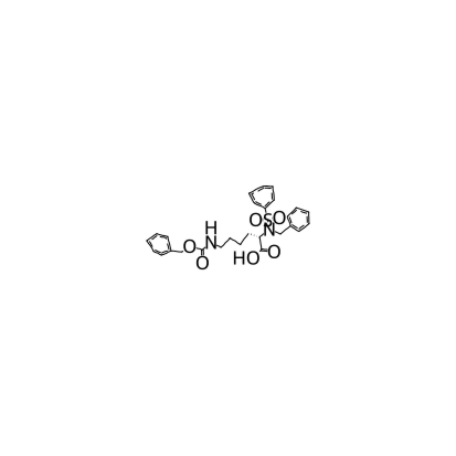 O=C(NCCCC[C@@H](C(=O)O)N(Cc1ccccc1)S(=O)(=O)c1ccccc1)OCc1ccccc1